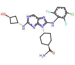 NC(=O)[C@H]1CC[C@H](n2c(Nc3c(F)ccc(Cl)c3F)nc3cnc(N[C@H]4C[C@H](O)C4)nc32)CC1